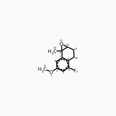 COc1cc(F)c2c(c1)C1(C)OC1CC2